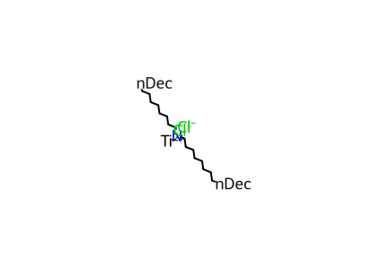 CCCCCCCCCCCCCCCCCC[N]([Ti+2])CCCCCCCCCCCCCCCCCC.[Cl-].[Cl-]